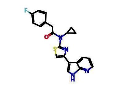 O=C(Cc1ccc(F)cc1)N(c1nc(-c2c[nH]c3ncccc23)cs1)C1CC1